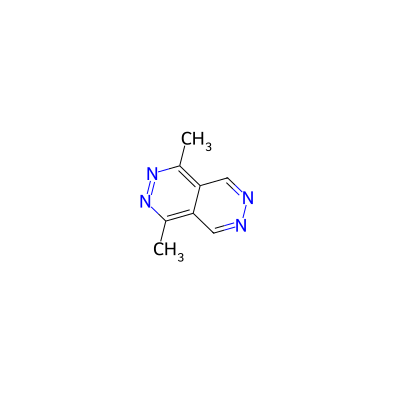 Cc1nnc(C)c2cnncc12